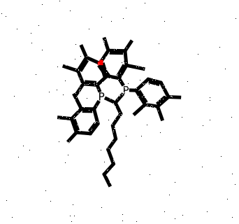 CCCCCCCC(P(c1ccc(C)c(C)c1C)c1ccc(C)c(C)c1C)P(c1ccc(C)c(C)c1C)c1ccc(C)c(C)c1C